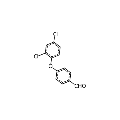 O=Cc1ccc(Oc2ccc(Cl)cc2Cl)cc1